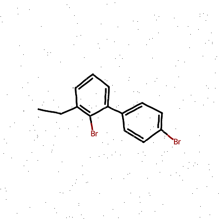 CCc1[c]ccc(-c2ccc(Br)cc2)c1Br